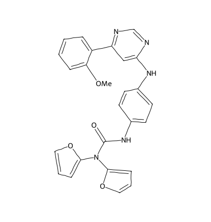 COc1ccccc1-c1cc(Nc2ccc(NC(=O)N(c3ccco3)c3ccco3)cc2)ncn1